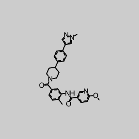 COc1ccc(C(=O)Nc2cc(C(=O)N3CCC(c4ccc(-c5cnn(C)c5)cc4)CC3)ccc2C)cn1